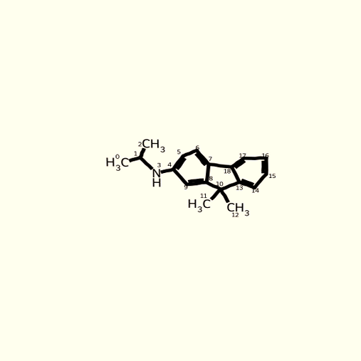 CC(C)Nc1ccc2c(c1)C(C)(C)c1ccccc1-2